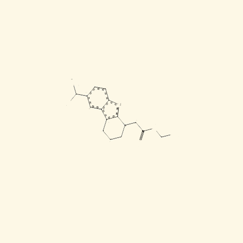 CCOC(=O)CC1CCCc2c1[nH]c1ccc(C(C)C)cc21